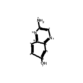 Nc1cnc2cc(O)ccc2n1